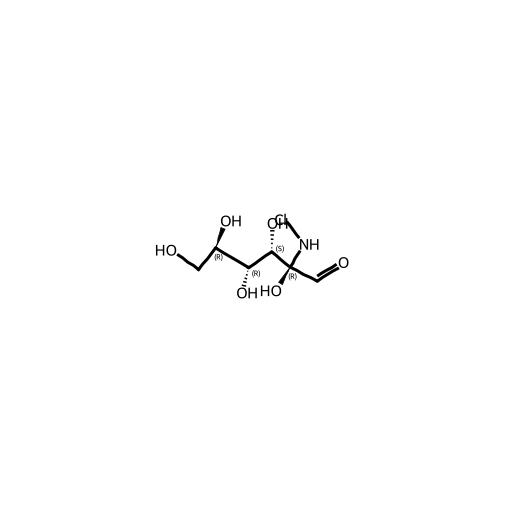 O=C[C@@](O)(NCl)[C@@H](O)[C@H](O)[C@H](O)CO